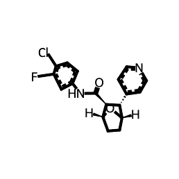 O=C(Nc1ccc(Cl)c(F)c1)[C@H]1[C@H](c2ccncc2)[C@@H]2CC[C@H]1O2